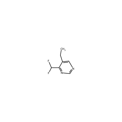 CCc1cncnc1C(F)F